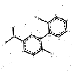 CCc1ccc(C(C)I)cc1-c1ccccc1I